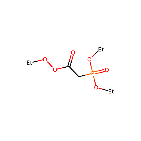 CCOOC(=O)CP(=O)(OCC)OCC